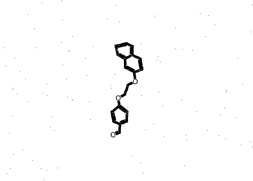 O=Cc1ccc(OCCOc2ccc3ccccc3c2)cc1